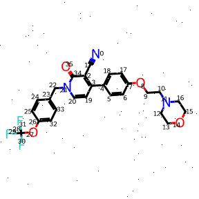 N#Cc1c(-c2ccc(OCCN3CCOCC3)cc2)ccn(Cc2ccc(OC(F)(F)F)cc2)c1=O